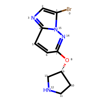 Brc1cnc2ccc(O[C@@H]3CCNC3)nn12